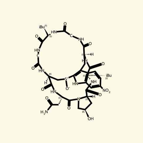 CC[C@H](C)[C@@H]1NC(=O)CNC(=O)[C@@H]2Cc3c([nH]c4cc([N+](=O)[O-])ccc34)[S+]([O-])C[C@H](NC(=O)CNC1=O)C(=O)N[C@@H](CC(N)=O)C(=O)N1C[C@H](O)C[C@H]1C(=O)N[C@@H]([C@@H](C)CC)C(=O)N2